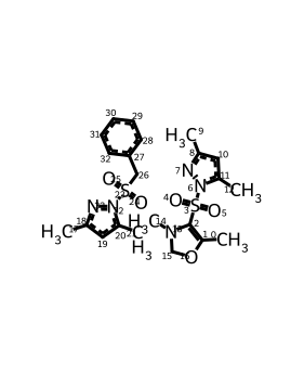 CC1=C(S(=O)(=O)n2nc(C)cc2C)N(C)CO1.Cc1cc(C)n(S(=O)(=O)Cc2ccccc2)n1